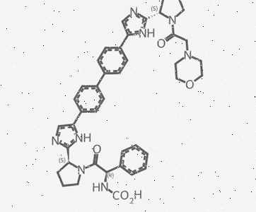 O=C(O)N[C@@H](C(=O)N1CCC[C@H]1c1ncc(-c2ccc(-c3ccc(-c4cnc([C@@H]5CCCN5C(=O)CN5CCOCC5)[nH]4)cc3)cc2)[nH]1)c1ccccc1